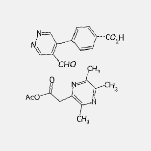 CC(=O)OC(=O)Cc1nc(C)c(C)nc1C.O=Cc1cnncc1-c1ccc(C(=O)O)cc1